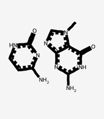 Cn1cnc2nc(N)[nH]c(=O)c21.Nc1cc[nH]c(=O)n1